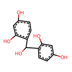 Oc1ccc(C(O)c2ccc(O)cc2O)c(O)c1